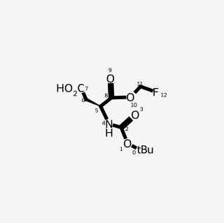 CC(C)(C)OC(=O)N[C@@H](CC(=O)O)C(=O)OCF